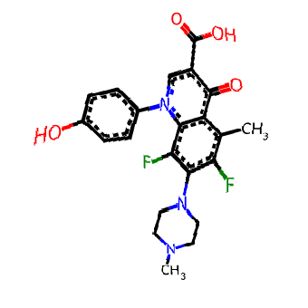 Cc1c(F)c(N2CCN(C)CC2)c(F)c2c1c(=O)c(C(=O)O)cn2-c1ccc(O)cc1